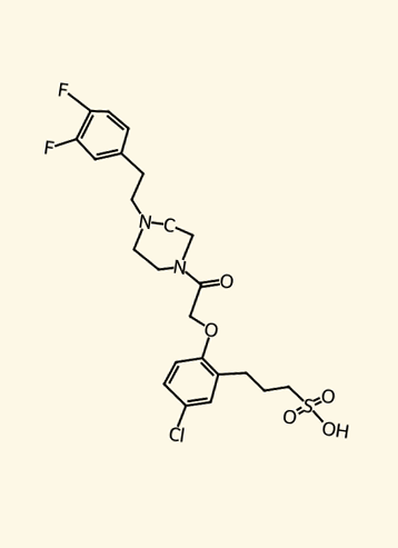 O=C(COc1ccc(Cl)cc1CCCS(=O)(=O)O)N1CCN(CCc2ccc(F)c(F)c2)CC1